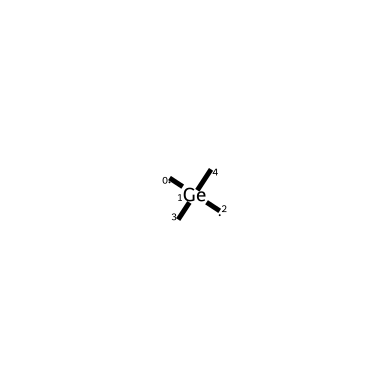 [CH2][Ge]([CH2])([CH3])[CH3]